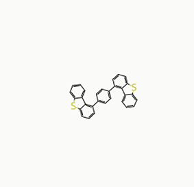 c1ccc2c(c1)sc1cccc(-c3ccc(-c4cccc5sc6ccccc6c45)cc3)c12